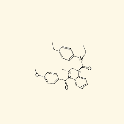 CCc1ccc(N(CC)C(=O)[C@@H]2C[C@@H](C)N(C(=O)c3ccc(OC)cc3)c3ccccc32)cc1